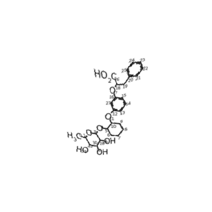 CC1O[C@@H](OC2CCCCC2Oc2cccc(OC(Cc3ccccc3)C(=O)O)c2)C(O)C(O)[C@@H]1O